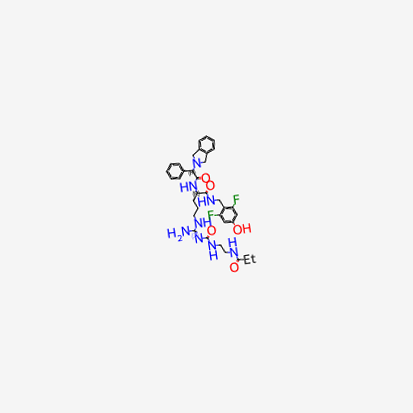 CCC(=O)NCCNC(=O)/N=C(/N)NCCC[C@@H](NC(=O)[C@@H](c1ccccc1)N1Cc2ccccc2C1)C(=O)NCc1c(F)cc(O)cc1F